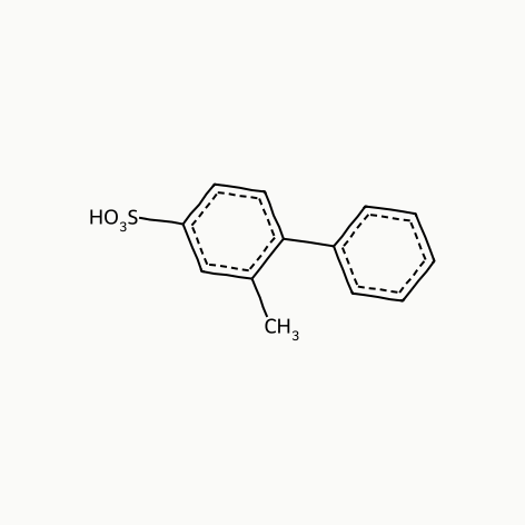 Cc1cc(S(=O)(=O)O)ccc1-c1ccccc1